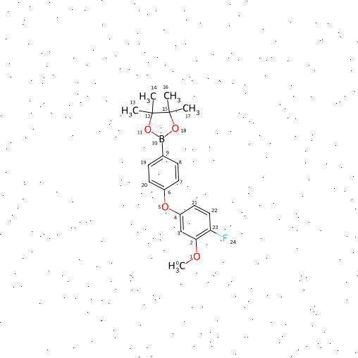 COc1cc(Oc2ccc(B3OC(C)(C)C(C)(C)O3)cc2)ccc1F